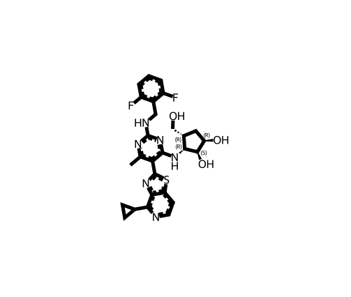 Cc1nc(NCc2c(F)cccc2F)nc(N[C@@H]2[C@H](CO)C[C@@H](O)[C@H]2O)c1-c1nc2c(C3CC3)nccc2s1